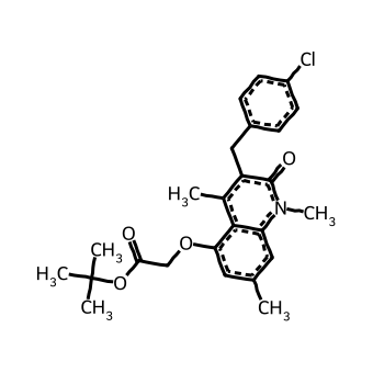 Cc1cc(OCC(=O)OC(C)(C)C)c2c(C)c(Cc3ccc(Cl)cc3)c(=O)n(C)c2c1